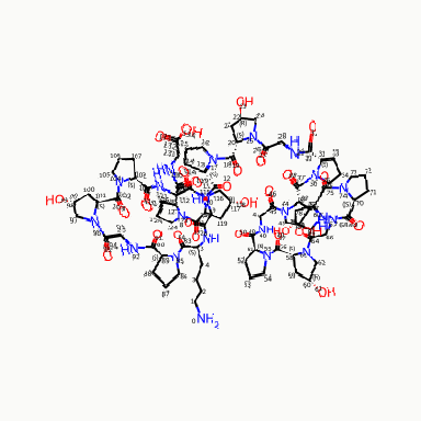 NCCCC[C@H](NC(=O)CNC(=O)[C@@H]1CCCN1C(=O)[C@@H]1C[C@@H](O)CN1C(=O)CNC(=O)[C@@H]1CCCN1C(=O)[C@@H]1C[C@@H](O)CN1C(=O)CNC(=O)[C@@H]1CCCN1C(=O)[C@@H]1C[C@@H](O)CN1C(=O)CNC(=O)[C@@H]1CCCN1C(=O)[C@@H]1C[C@@H](O)CN1)C(=O)N1CCC[C@H]1C(=O)NCC(=O)N1C[C@H](O)C[C@H]1C(=O)N1CCC[C@H]1C(=O)NCC(=O)N1C[C@H](O)C[C@H]1C(=O)N1CCC[C@H]1C(=O)NCC(=O)O